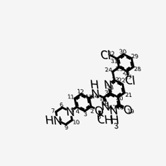 COc1cc(N2CCNCC2)ccc1Nc1n[nH]c(=O)c2ccc(Cc3c(Cl)cccc3Cl)nc12